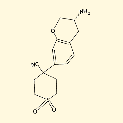 N#CC1(c2ccc3c(c2)OC[C@H](N)C3)CCS(=O)(=O)CC1